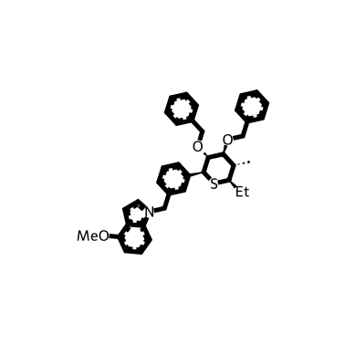 CC[C@H]1S[C@@H](c2cccc(Cn3ccc4c(OC)cccc43)c2)[C@H](OCc2ccccc2)[C@@H](OCc2ccccc2)[C@@H]1C